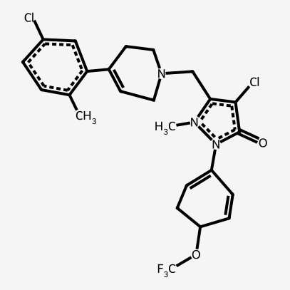 Cc1ccc(Cl)cc1C1=CCN(Cc2c(Cl)c(=O)n(C3=CCC(OC(F)(F)F)C=C3)n2C)CC1